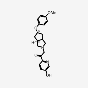 COc1ccc(O[C@H]2CC3CN(CC(=O)c4ccc(O)cn4)C[C@H]3C2)cc1